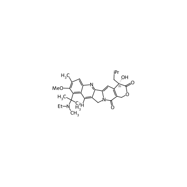 [2H]c1c2c(nc3cc(C)c(OC)c(C(C)(C)N(C)CC)c13)-c1cc3c(c(=O)n1C2)COC(=O)[C@]3(O)CC(C)C